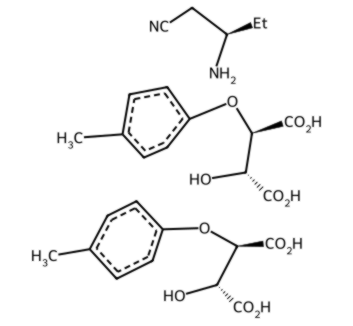 CC[C@@H](N)CC#N.Cc1ccc(O[C@@H](C(=O)O)[C@@H](O)C(=O)O)cc1.Cc1ccc(O[C@@H](C(=O)O)[C@@H](O)C(=O)O)cc1